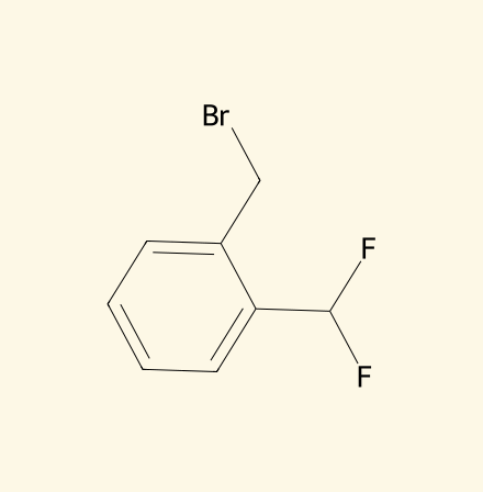 FC(F)c1ccccc1CBr